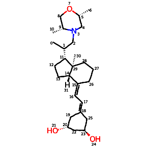 CC(CN1C[C@@H](C)OC[C@H]1C)[C@H]1CC[C@H]2/C(=C/C=C3C[C@@H](O)C[C@H](O)C3)CCC[C@]12C